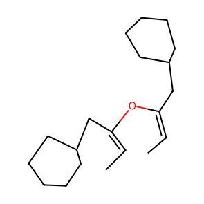 CC=C(CC1CCCCC1)OC(=CC)CC1CCCCC1